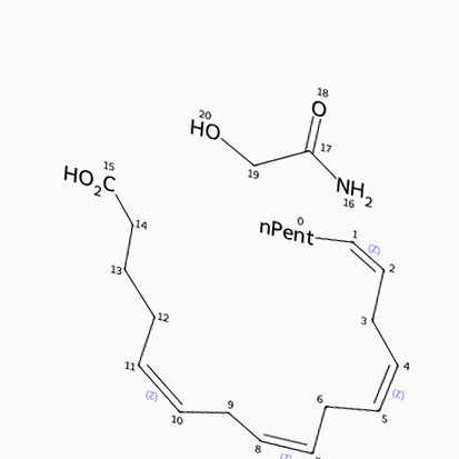 CCCCC/C=C\C/C=C\C/C=C\C/C=C\CCCC(=O)O.NC(=O)CO